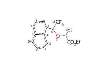 CCOC(=O)C(CC)OC(c1cccc2ccccc12)C(F)(F)F